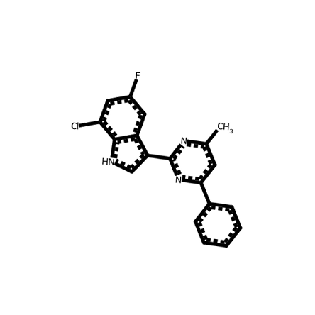 Cc1cc(-c2ccccc2)nc(-c2c[nH]c3c(Cl)cc(F)cc23)n1